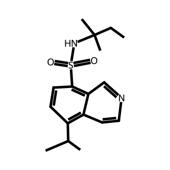 CCC(C)(C)NS(=O)(=O)c1ccc(C(C)C)c2ccncc12